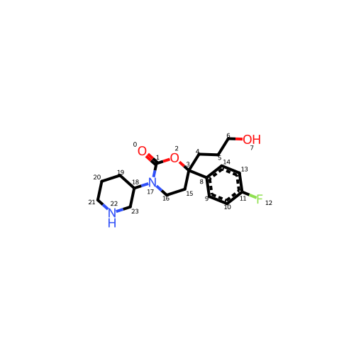 O=C1OC(CCCO)(c2ccc(F)cc2)CCN1C1CCCNC1